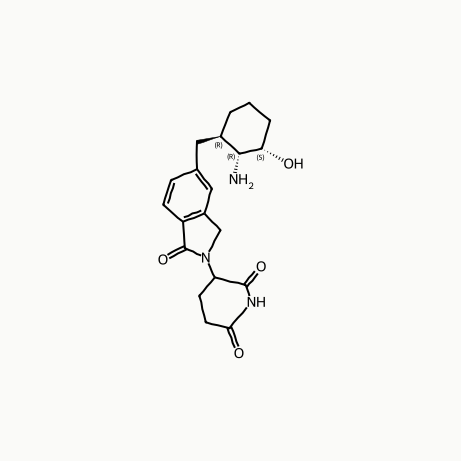 N[C@@H]1[C@@H](Cc2ccc3c(c2)CN(C2CCC(=O)NC2=O)C3=O)CCC[C@@H]1O